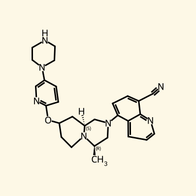 C[C@@H]1CN(c2ccc(C#N)c3ncccc23)C[C@@H]2CC(Oc3ccc(N4CCNCC4)cn3)CCN21